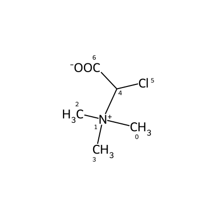 C[N+](C)(C)C(Cl)C(=O)[O-]